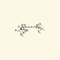 CC(=O)c1c(C)c(Cl)c(O)c(CCCCCCCOC(=O)C(C)(C)C)c1O